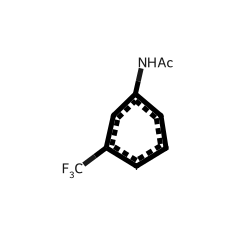 CC(=O)Nc1cc[c]c(C(F)(F)F)c1